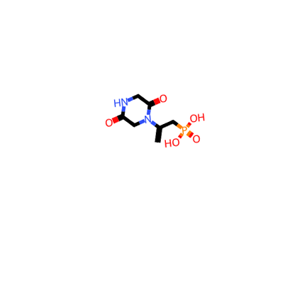 C=C(CP(=O)(O)O)N1CC(=O)NCC1=O